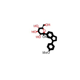 COc1ccc(C2CCc3ccc(C4(OC)O[C@H](CO)[C@@H](O)[C@H](O)[C@H]4O)cc32)cc1